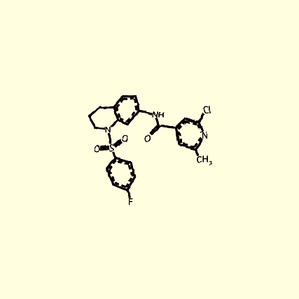 Cc1cc(C(=O)Nc2ccc3c(c2)N(S(=O)(=O)c2ccc(F)cc2)CCC3)cc(Cl)n1